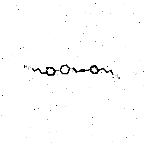 CCCCc1ccc(C#C/C=C/[C@H]2CC[C@H](c3ccc(CCCC)cc3)CC2)cc1